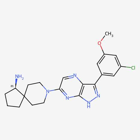 COc1cc(Cl)cc(-c2n[nH]c3nc(N4CCC5(CCC[C@H]5N)CC4)cnc23)c1